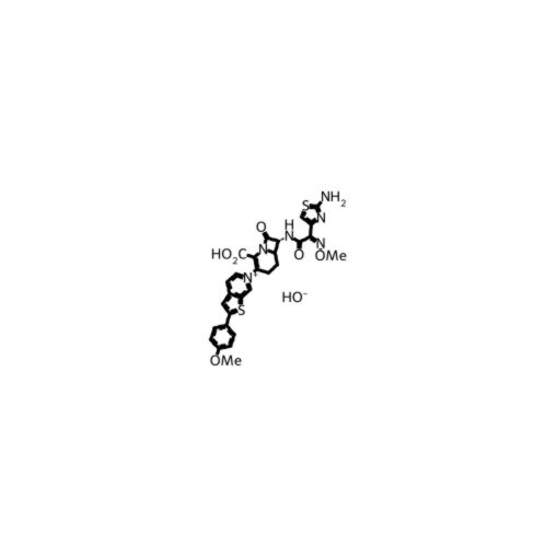 CO/N=C(\C(=O)N[C@H]1C(=O)N2C(C(=O)O)=C([n+]3ccc4cc(-c5ccc(OC)cc5)sc4c3)CCC12)c1csc(N)n1.[OH-]